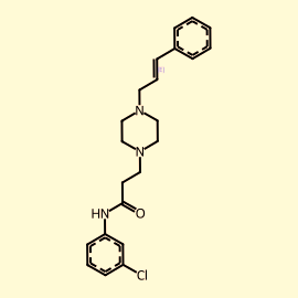 O=C(CCN1CCN(C/C=C/c2ccccc2)CC1)Nc1cccc(Cl)c1